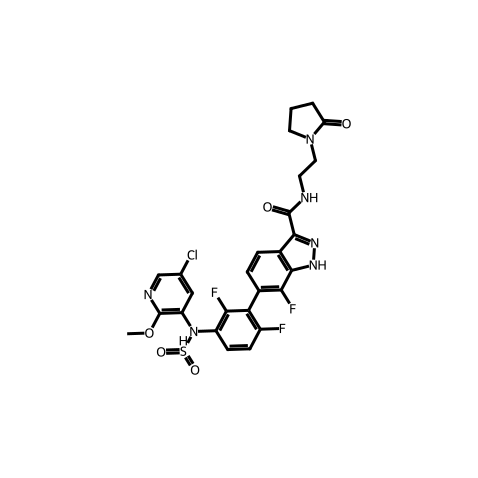 COc1ncc(Cl)cc1N(c1ccc(F)c(-c2ccc3c(C(=O)NCCN4CCCC4=O)n[nH]c3c2F)c1F)[SH](=O)=O